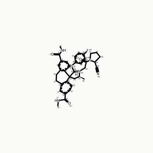 CNC(=O)c1ccc2c(c1)CCc1cc(C(=O)NC)ccc1C2(C[C@H](C)NCC(=O)N1CCCC1C#N)C(=N)Nc1ccc(F)cc1